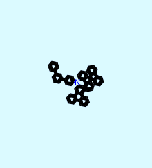 c1ccc(-c2cccc(-c3ccc(N(c4ccc5c6ccccc6c6ccccc6c5c4)c4cccc5c4-c4ccccc4C54c5ccccc5-c5ccccc54)cc3)c2)cc1